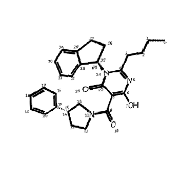 CCCCc1nc(O)c(C(=O)N2CC[C@H](c3ccccc3)C2)c(=O)n1[C@@H]1CCc2ccccc21